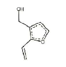 C=Cc1occc1CO